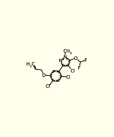 C=CCOc1cc(-c2nn(C)c(OC(F)F)c2Cl)c(Cl)cc1Cl